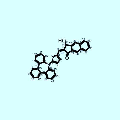 O=C1/C(=C\c2ccc(N3c4ccccc4-c4ccccc4-c4ccccc43)s2)C(O)c2cc3ccccc3cc21